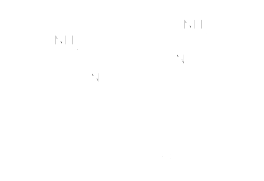 NCN1CC2C(O)CCN(N)C2C1